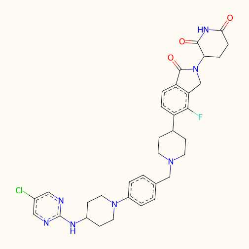 O=C1CCC(N2Cc3c(ccc(C4CCN(Cc5ccc(N6CCC(Nc7ncc(Cl)cn7)CC6)cc5)CC4)c3F)C2=O)C(=O)N1